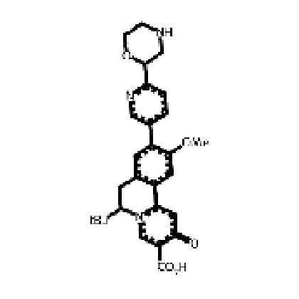 COc1cc2c(cc1-c1ccc(C3CNCCO3)nc1)CC(C(C)(C)C)n1cc(C(=O)O)c(=O)cc1-2